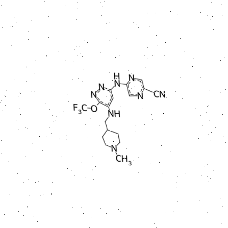 CN1CCC(CNc2cc(Nc3cnc(C#N)cn3)nnc2OC(F)(F)F)CC1